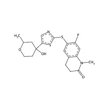 CC1CC(O)(c2cnc(Sc3cc4c(cc3F)N(C)C(=O)CC4)s2)CCO1